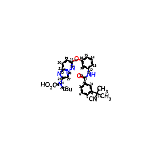 CC(C)(C#N)c1cccc(C(=O)Nc2cccc(Oc3ccc4nc(N(C(=O)O)C(C)(C)C)cn4n3)c2)c1